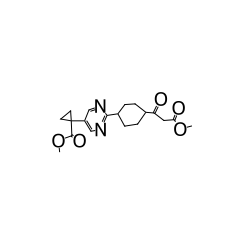 COC(=O)CC(=O)C1CCC(c2ncc(C3(C(=O)OC)CC3)cn2)CC1